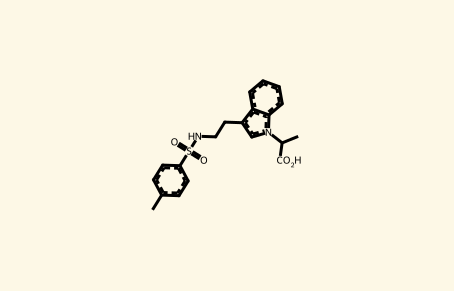 Cc1ccc(S(=O)(=O)NCCc2cn(C(C)C(=O)O)c3ccccc23)cc1